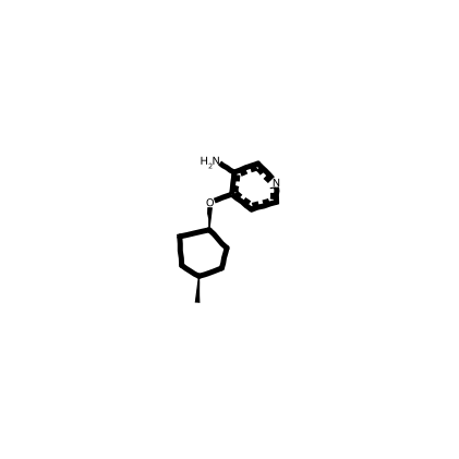 C[C@H]1CC[C@@H](Oc2ccncc2N)CC1